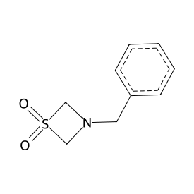 O=S1(=O)CN(Cc2ccccc2)C1